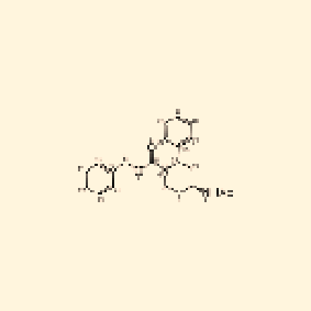 CC(=O)N[C@H]1CCN(C(=O)OCc2ccccc2)[C@@H](c2ccccc2)C1